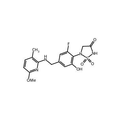 COc1ccc(C)c(NCc2cc(O)c(N3CC(=O)NS3(=O)=O)c(F)c2)n1